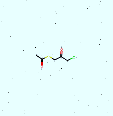 CC(=O)SCC(=O)CCl